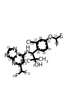 CC(C)(O)C(Nc1cc(C(F)F)nc2ncnn12)c1ccc(OC(F)F)cc1Cl